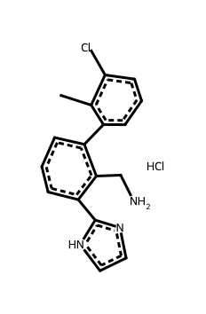 Cc1c(Cl)cccc1-c1cccc(-c2ncc[nH]2)c1CN.Cl